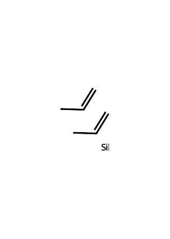 C=CC.C=CC.[Si]